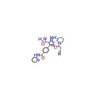 N#CCC(=O)N1CCCC[C@H]1c1nc(-c2ccc(C(=O)Nc3ccccn3)cc2)c(C(N)=O)n1N